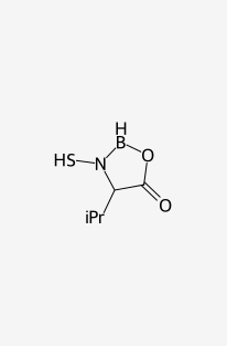 CC(C)C1C(=O)OBN1S